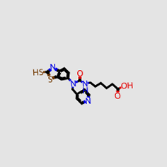 O=C(O)CCCCCNC(=O)N(Cc1ccncc1)c1ccc2nc(S)sc2c1